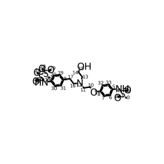 CS(=O)(=O)Nc1ccc(OCCN(CCO)CCc2ccc(NS(=O)(=O)S(C)(=O)=O)cc2)cc1